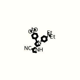 CCN(CC)c1ccc(-n2cccc2-c2ccc(S(C)(=O)=O)cc2)cc1.N#Cc1cc[nH]c1